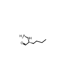 CCCC[C@@H](C=O)NP